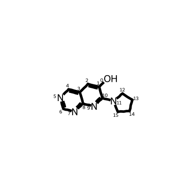 Oc1cc2cncnc2nc1N1CCCC1